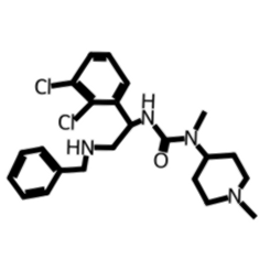 CN1CCC(N(C)C(=O)NC(CNCc2ccccc2)c2cccc(Cl)c2Cl)CC1